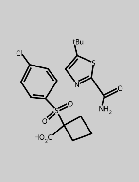 CC(C)(C)c1cnc(C(N)=O)s1.O=C(O)C1(S(=O)(=O)c2ccc(Cl)cc2)CCC1